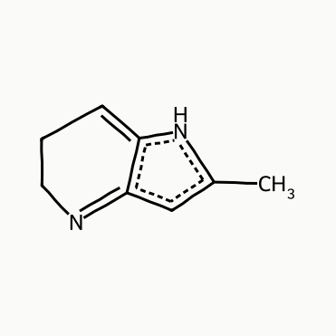 Cc1cc2c([nH]1)=CCCN=2